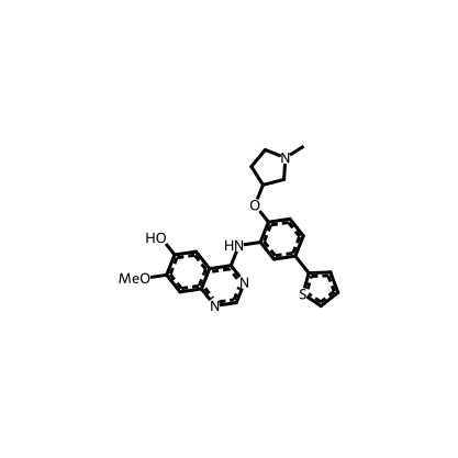 COc1cc2ncnc(Nc3cc(-c4cccs4)ccc3OC3CCN(C)C3)c2cc1O